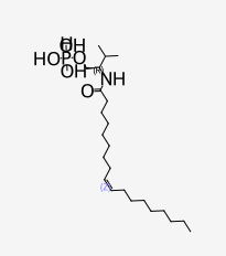 CCCCCCCC/C=C\CCCCCCCC(=O)N[C@@H](CO[PH](O)(O)O)C(C)C